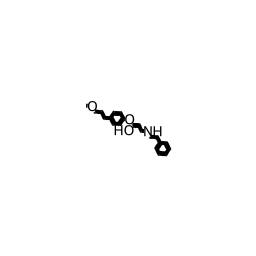 COCCCc1ccc(OC(O)=CCNCCc2ccccc2)cc1